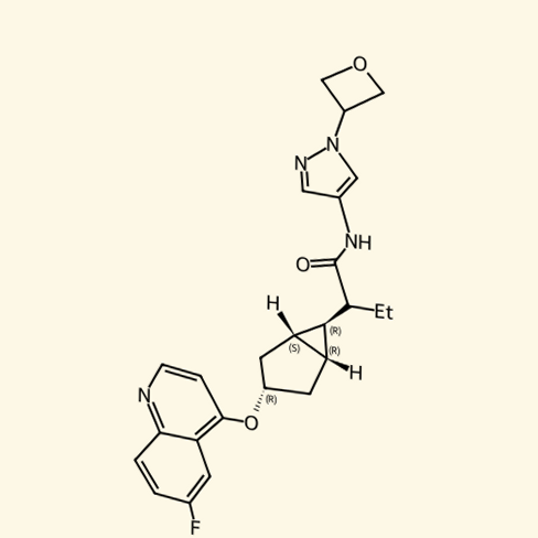 CCC(C(=O)Nc1cnn(C2COC2)c1)[C@H]1[C@@H]2C[C@H](Oc3ccnc4ccc(F)cc34)C[C@@H]21